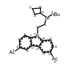 CCCCN(CCn1c2ccc(C(C)=O)cc2c2cc(C(C)=O)ccc21)C1CCC1